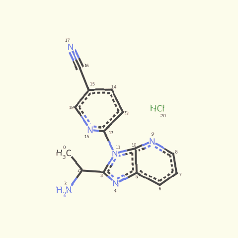 CC(N)c1nc2cccnc2n1-c1ccc(C#N)cn1.Cl